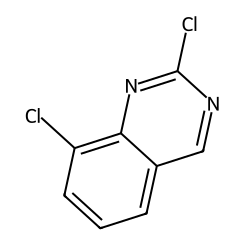 Clc1ncc2cccc(Cl)c2n1